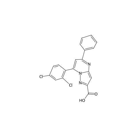 O=C(O)c1cc2nc(-c3ccccc3)cc(-c3ccc(Cl)cc3Cl)n2n1